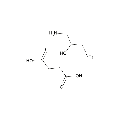 NCC(O)CN.O=C(O)CCC(=O)O